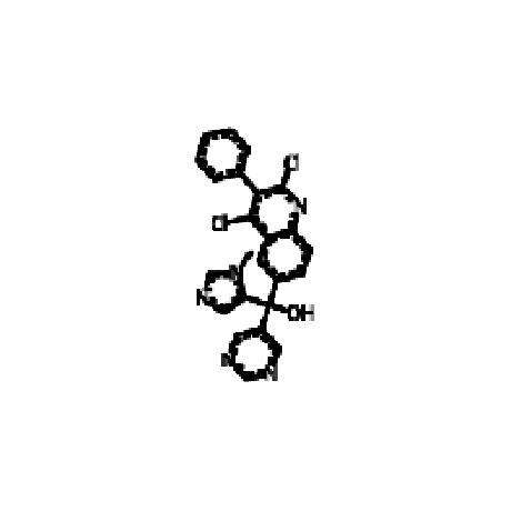 Cn1cncc1C(O)(c1cncnc1)c1ccc2nc(Cl)c(-c3ccccc3)c(Cl)c2c1